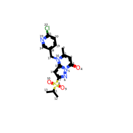 Cc1cc(=O)n2nc(S(=O)(=O)C(C)C)cc2n1Cc1ccc(Cl)nc1